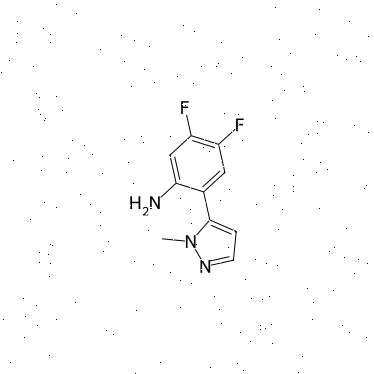 Cn1nccc1-c1cc(F)c(F)cc1N